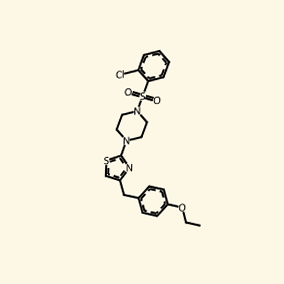 CCOc1ccc(Cc2csc(N3CCN(S(=O)(=O)c4ccccc4Cl)CC3)n2)cc1